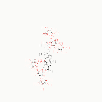 CC[C@@H]1O[C@H](O[C@H]2[C@H](O[C@H](CC[C@@H](C)C3CC[C@@]4(C)C5CC=C6C(CC[C@H](O[C@@H]7O[C@H](CO[C@@H]8O[C@H](CO)[C@@H](O)[C@H](O)[C@H]8O)[C@@H](O)[C@H](O)[C@H]7O[C@H]7O[C@@H](CO)[C@H](O)[C@@H](O)[C@@H]7O)C6(C)C)[C@]5(C)[C@H](O)C[C@]34C)C(C)(C)O)O[C@H](CO[C@@H]3O[C@H](CO)[C@@H](O)[C@H](O)[C@H]3O)[C@@H](O)[C@@H]2O)[C@@H](O)[C@H](O)[C@H]1O